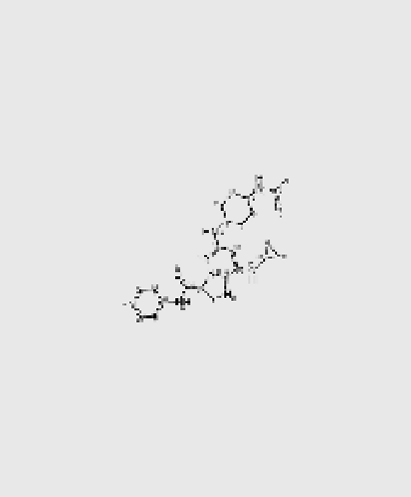 CC(=O)N[C@H]1CC[C@H](NC2=NN3C(=NCC3C(=O)Nc3ccncc3)C(NC3CC3)=C2)CC1